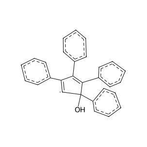 OC1(c2ccccc2)[C]=C(c2ccccc2)C(c2ccccc2)=C1c1ccccc1